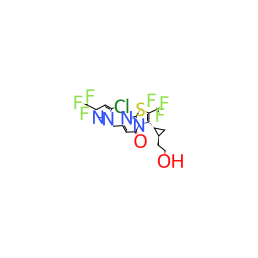 O=c1cc(Cn2nc(C(F)(F)F)cc2Cl)nc2sc(C(F)(F)F)c([C@@H]3C[C@H]3CCO)n12